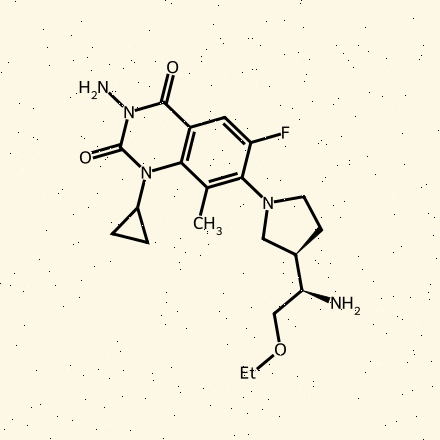 CCOC[C@H](N)[C@@H]1CCN(c2c(F)cc3c(=O)n(N)c(=O)n(C4CC4)c3c2C)C1